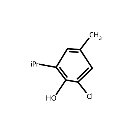 Cc1cc(Cl)c(O)c(C(C)C)c1